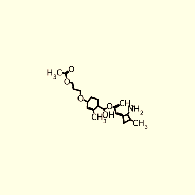 C=C(/C=C1/CC(C)C1N)OC(O)C1CCC(OCCCOC(C)=O)C=C1C